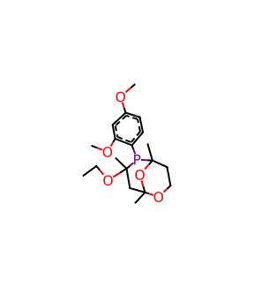 CCOC1(C)CC2(C)OCCC(C)(O2)P1c1ccc(OC)cc1OC